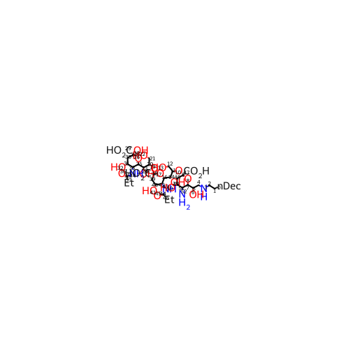 CCCCCCCCCCCCNCC(O)C1OC(OC(CO)C(O)C2OC(OC(CO)C(O)C3OC(O)(C(=O)O)CC(O)C3NC(=O)CC)(C(=O)O)CC(O)C2NC(=O)CC)(C(=O)O)CC(O)C1N